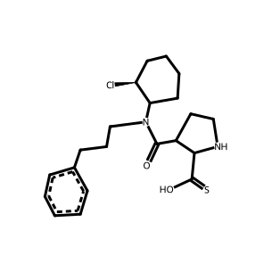 O=C(C1CCNC1C(O)=S)N(CCCc1ccccc1)C1CCCC[C@@H]1Cl